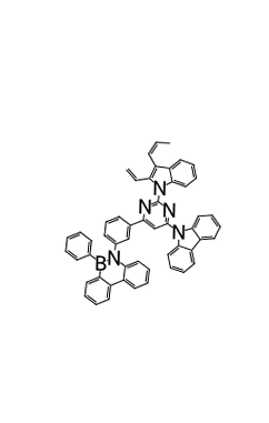 C=Cc1c(/C=C\C)c2ccccc2n1-c1nc(-c2cccc(N3B(c4ccccc4)c4ccccc4-c4ccccc43)c2)cc(-n2c3ccccc3c3ccccc32)n1